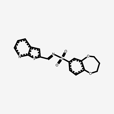 O=S(=O)(N=Cc1cc2cccnc2s1)c1ccc2c(c1)OCCCO2